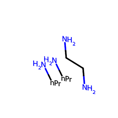 CCCN.CCCN.NCCN